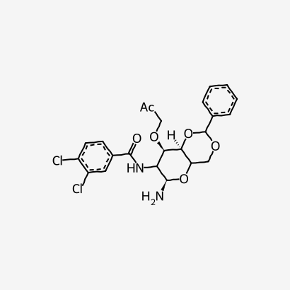 CC(=O)CO[C@@H]1C(NC(=O)c2ccc(Cl)c(Cl)c2)[C@H](N)OC2COC(c3ccccc3)O[C@@H]21